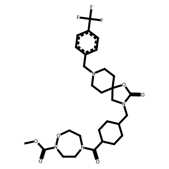 COC(=O)N1CCN(C(=O)C2CCC(CN3CC4(CCN(Cc5ccc(C(F)(F)F)cc5)CC4)OC3=O)CC2)CCO1